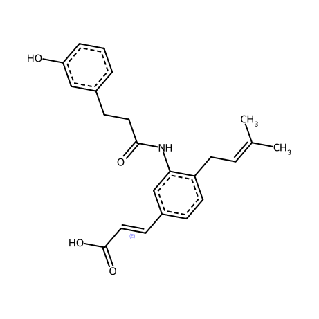 CC(C)=CCc1ccc(/C=C/C(=O)O)cc1NC(=O)CCc1cccc(O)c1